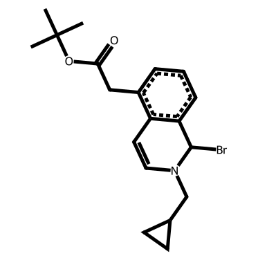 CC(C)(C)OC(=O)Cc1cccc2c1C=CN(CC1CC1)C2Br